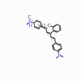 [CH2-][NH+](C)C1C=CC(=C/C=C(/C=C/c2ccc(N(C)C)cc2)c2ccccc2C(=O)O)C=C1